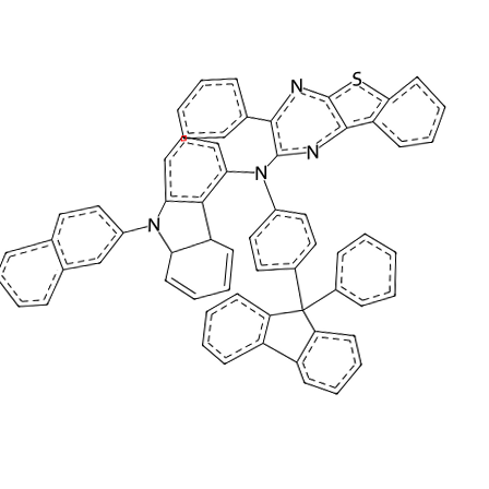 C1=CC2c3c(N(c4ccc(C5(c6ccccc6)c6ccccc6-c6ccccc65)cc4)c4nc5c(nc4-c4ccccc4)sc4ccccc45)cccc3N(c3ccc4ccccc4c3)C2C=C1